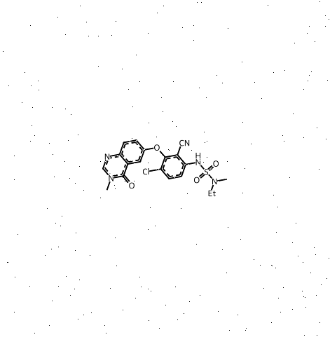 CCN(C)S(=O)(=O)Nc1ccc(Cl)c(Oc2ccc3ncn(C)c(=O)c3c2)c1C#N